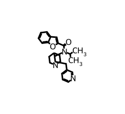 CC(C)N(C(=O)c1cc2ccccc2o1)C1C2CCN(CC2)C1Cc1cccnc1